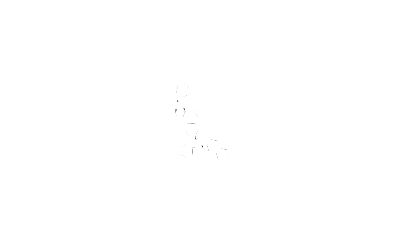 c1ccc(-n2ccc3c4cc5c6ccccc6n(-c6ccc7ccccc7c6)c5cc4ccc32)cc1